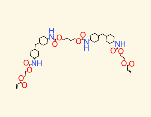 C=CC(=O)OCCOC(=O)NC1CCC(CC2CCC(NC(=O)OCCCCOC(=O)NC3CCC(CC4CCC(NC(=O)OCCOC(=O)C=C)CC4)CC3)CC2)CC1